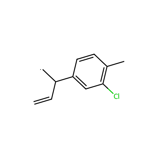 [CH2]C(C=C)c1ccc(C)c(Cl)c1